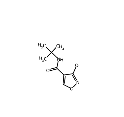 CC(C)(C)NC(=O)c1conc1[O]